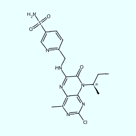 CC[C@@H](C)n1c(=O)c(NCc2ccc(S(N)(=O)=O)cn2)nc2c(C)nc(Cl)nc21